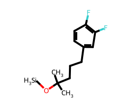 CC(C)(CCCc1ccc(F)c(F)c1)O[SiH3]